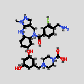 Cn1ncc2c1Nc1ccccc1N(C(=O)c1ccc(CN)c(F)c1)C2.O=C(O)N1CCN(Cc2cc(O)cc(O)c2)CC1